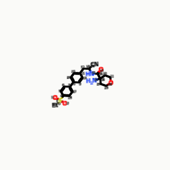 CCS(=O)(=O)c1ccc(-c2ccc(CC(C#N)NC(=O)C3(N)CCOCC3)cc2)cc1